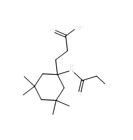 CC1(C)CC(C)(C)CC(CCC(=O)O)(NC(=O)CCl)C1